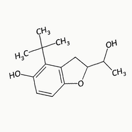 CC(O)C1Cc2c(ccc(O)c2C(C)(C)C)O1